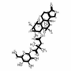 CC(C)[C@]12O[C@H]1[C@@H]1O[C@]13[C@]1(O[C@H]1C[C@H]1C4=C(CC[C@@]13C)C(=O)OC4)[C@@H]2OC(=O)CC(C)(C)C(=O)O[C@@H]1OC(CO)[C@@H](O)[C@H](O)C1O